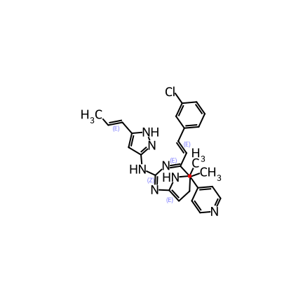 C/C=C/c1cc(NC2=N/C(NC(C)c3ccncc3)=C/CC(C)C(/C=C/c3cccc(Cl)c3)=N\2)n[nH]1